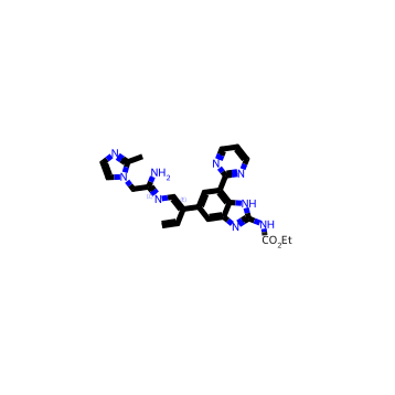 C=C/C(=C\N=C(/N)Cn1ccnc1C)c1cc(-c2ncccn2)c2[nH]c(NC(=O)OCC)nc2c1